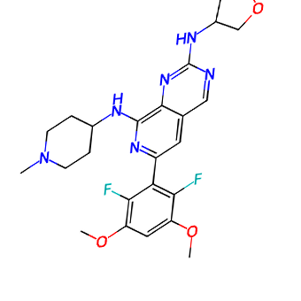 COc1cc(OC)c(F)c(-c2cc3cnc(NC4CCOC4)nc3c(NC3CCN(C)CC3)n2)c1F